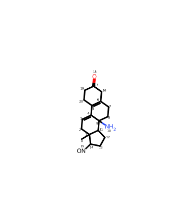 CC12CC=C3C4=C(CCC3(N)C1CCC2N=O)CC(=O)CC4